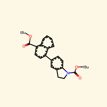 CC(C)(C)OC(=O)c1ccc(-c2ccc3c(c2)CCN3C(=O)OC(C)(C)C)c2ccccc12